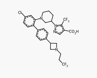 O=C(O)c1cnn(C2CCCN(c3cc(Cl)ccc3-c3ccc(C4CN(CCC(F)(F)F)C4)cc3)C2)c1C(F)(F)F